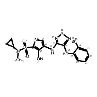 CN(C1CC1)S(=O)(=O)c1scc(Nc2nsnc2Nc2ccccc2Br)c1O